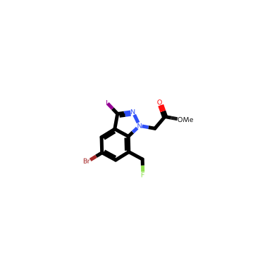 COC(=O)Cn1nc(I)c2cc(Br)cc(CF)c21